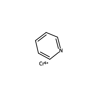 [Cr+6].c1ccncc1